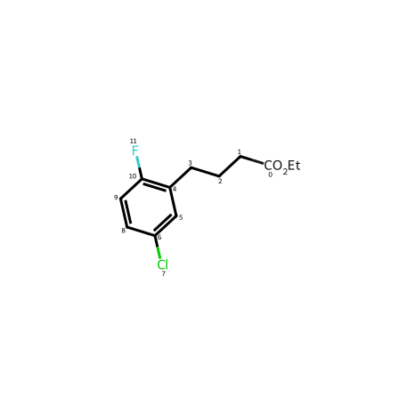 CCOC(=O)CCCc1cc(Cl)ccc1F